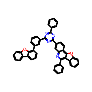 c1ccc(-c2nc(-c3cccc(-c4cccc5c4oc4ccccc45)c3)nc(-c3ccc4c(c3)nc(-c3ccccc3)c3c5ccccc5oc43)n2)cc1